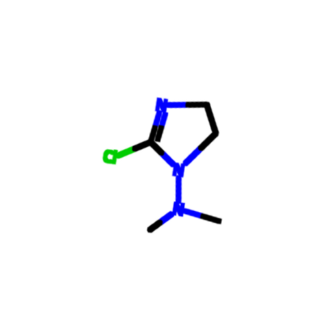 CN(C)N1CCN=C1Cl